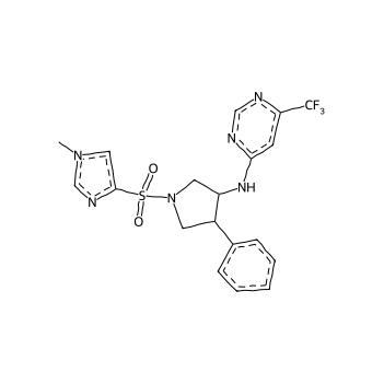 Cn1cnc(S(=O)(=O)N2CC(Nc3cc(C(F)(F)F)ncn3)C(c3ccccc3)C2)c1